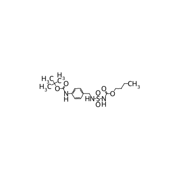 CCCCOC(=O)NS(=O)(=O)NCc1ccc(NC(=O)OC(C)(C)C)cc1